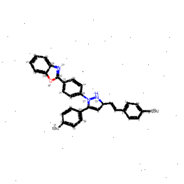 CC(C)(C)c1ccc(C=CC2C=C(c3ccc(C(C)(C)C)cc3)N(c3ccc(-c4nc5ccccc5o4)cc3)N2)cc1